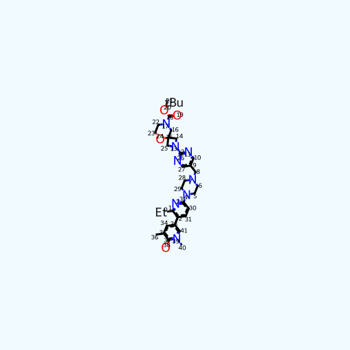 CCc1nc(N2CCN(Cc3cnc(N4CC5(CN(C(=O)OC(C)(C)C)CCO5)C4)nc3)CC2)ccc1-c1cc(C)c(=O)n(C)c1